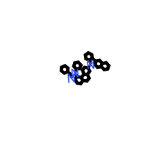 c1ccc(-c2nc3ccc4ccc5cc(-n6c7ccccc7c7cc8ccccc8cc76)ccc5c4c3n2-c2ccccc2)cc1